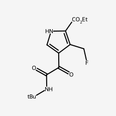 CCOC(=O)c1[nH]cc(C(=O)C(=O)NC(C)(C)C)c1CF